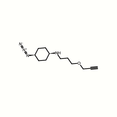 C#CCOCCCN[C@H]1CC[C@@H](N=[N+]=[N-])CC1